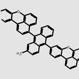 Cc1ccc2c(-c3ccc4c(c3)Oc3cccc5cccc-4c35)c3ccccc3c(-c3ccc4c5c(cccc35)Oc3ccccc3-4)c2c1